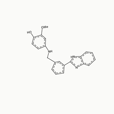 COc1cc(NCc2cccc(-c3nc4ccccc4[nH]3)c2)ccc1O